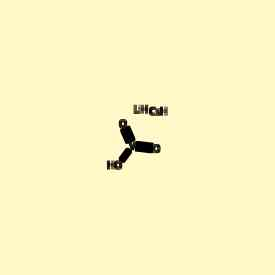 [CsH].[LiH].[O]=[V](=[O])[OH]